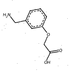 NCc1cccc(OCC(=O)O)c1